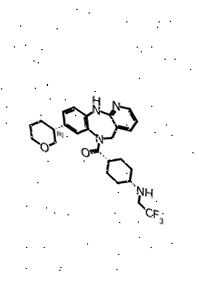 O=C([C@H]1CC[C@@H](NCC(F)(F)F)CC1)N1Cc2cccnc2Nc2ccc([C@H]3CCCOC3)cc21